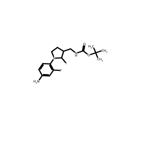 CC(C)(C)OC(=O)NCC1CCN(c2ccc(N)cc2F)C1I